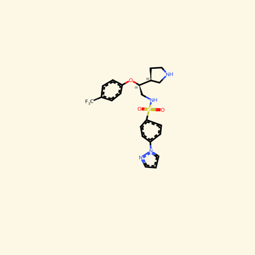 O=S(=O)(NC[C@@H](Oc1ccc(C(F)(F)F)cc1)[C@H]1CCNC1)c1ccc(-n2cccn2)cc1